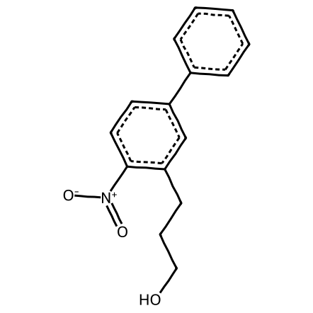 O=[N+]([O-])c1ccc(-c2ccccc2)cc1CCCO